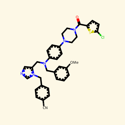 COc1cccc(CN(Cc2cncn2Cc2ccc(C#N)cc2)c2ccc(N3CCN(C(=O)c4ccc(Cl)s4)CC3)cc2)c1